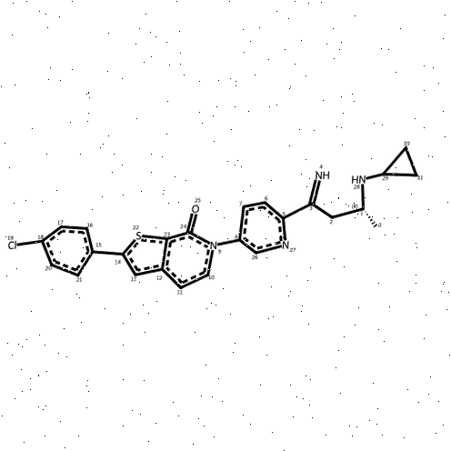 C[C@H](CC(=N)c1ccc(-n2ccc3cc(-c4ccc(Cl)cc4)sc3c2=O)cn1)NC1CC1